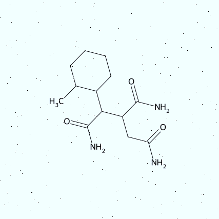 CC1CCCCC1C(C(N)=O)C(CC(N)=O)C(N)=O